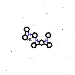 N#Cc1c(-n2c3ccccc3c3ccccc32)cccc1-n1c2ccccc2c2cc3c4ccccc4n(-c4ccccc4)c3cc21